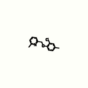 Cc1ccc(OCc2cccc(C)n2)c(Cl)c1